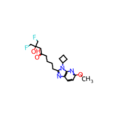 COc1ccc2nc(CCCCC(=O)CC(O)(CF)CF)n(C3CCC3)c2n1